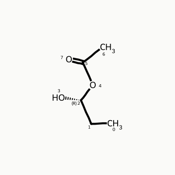 CC[C@H](O)OC(C)=O